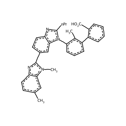 CCCc1nc2ccc(-c3nc4ccc(C)cc4n3C)cc2n1-c1cccc(-c2ccccc2C(=O)O)c1C